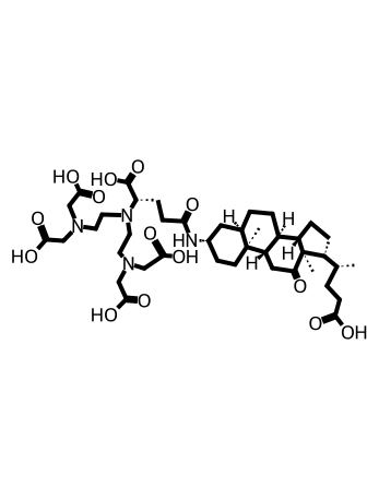 C[C@H](CCC(=O)O)[C@H]1CC[C@H]2[C@@H]3CC[C@@H]4C[C@@H](NC(=O)CC[C@@H](C(=O)O)N(CCN(CC(=O)O)CC(=O)O)CCN(CC(=O)O)CC(=O)O)CC[C@]4(C)[C@H]3CC(=O)[C@]12C